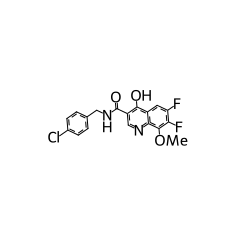 COc1c(F)c(F)cc2c(O)c(C(=O)NCc3ccc(Cl)cc3)cnc12